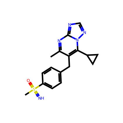 Cc1nc2ncnn2c(C2CC2)c1Cc1ccc(S(C)(=N)=O)cc1